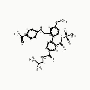 COc1ccc(-c2ccc(C(=O)NCC(C)C)cc2C(=O)OS(C)(=O)=O)c(CNc2ccc(C(=N)N)cc2)c1